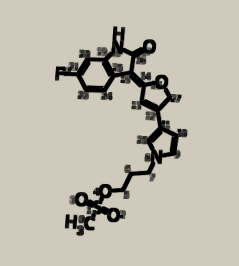 CS(=O)(=O)OCCCn1ccc(C2=CC(=C3C(=O)Nc4cc(F)ccc43)OC2)c1